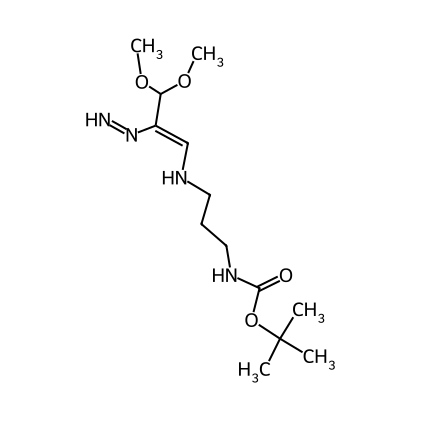 COC(OC)/C(=C/NCCCNC(=O)OC(C)(C)C)N=N